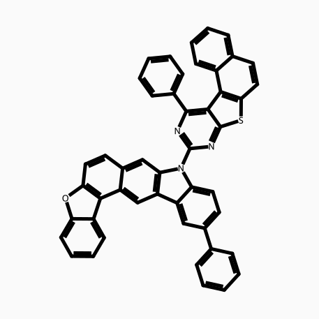 c1ccc(-c2ccc3c(c2)c2cc4c(ccc5oc6ccccc6c54)cc2n3-c2nc(-c3ccccc3)c3c(n2)sc2ccc4ccccc4c23)cc1